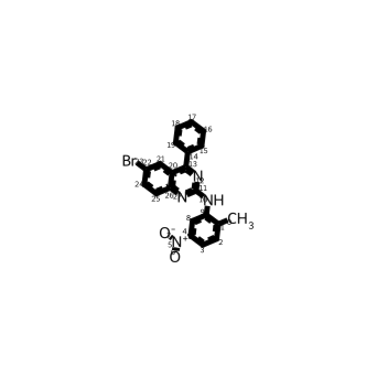 Cc1ccc([N+](=O)[O-])cc1Nc1nc(-c2ccccc2)c2cc(Br)ccc2n1